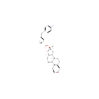 C[C@]12C=CC(=O)C=C1CC[C@H]1[C@@H]3C[C@H]4O[C@@H](c5csc(Cc6ccc(N)cc6)c5)O[C@@]4(C(=O)CO)[C@@]3(C)C[C@H](O)[C@@]12F